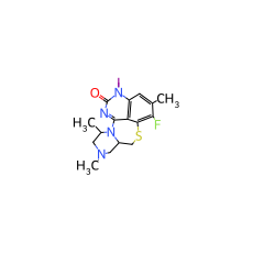 Cc1cc2c3c(nc(=O)n2I)N2C(C)CN(C)CC2CSc3c1F